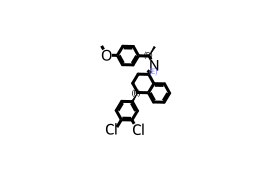 COc1ccc([C@@H](C)/N=C2\CC[C@H](c3ccc(Cl)c(Cl)c3)c3ccccc32)cc1